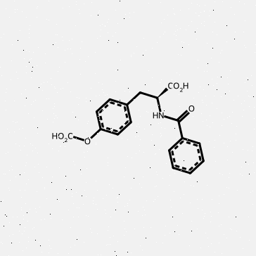 O=C(O)Oc1ccc(C[C@H](NC(=O)c2ccccc2)C(=O)O)cc1